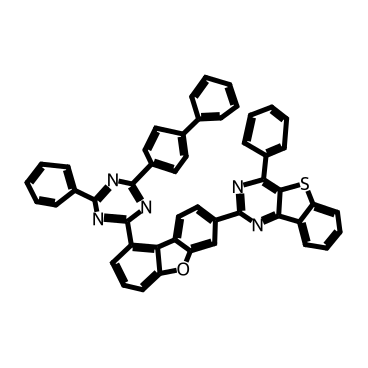 c1ccc(-c2ccc(-c3nc(-c4ccccc4)nc(-c4cccc5oc6cc(-c7nc(-c8ccccc8)c8sc9ccccc9c8n7)ccc6c45)n3)cc2)cc1